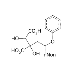 CCCCCCCCCC(CC(O)(C(=O)O)C(O)C(=O)O)Oc1ccccc1